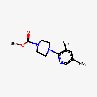 CC(C)(C)OC(=O)N1CCN(c2ncc([N+](=O)[O-])cc2C(F)(F)F)CC1